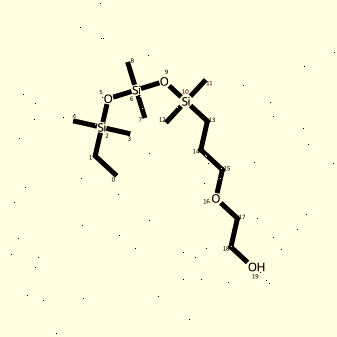 CC[Si](C)(C)O[Si](C)(C)O[Si](C)(C)CCCOCCO